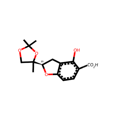 CC1(C)OCC(C)([C@H]2Cc3c(ccc(C(=O)O)c3O)O2)O1